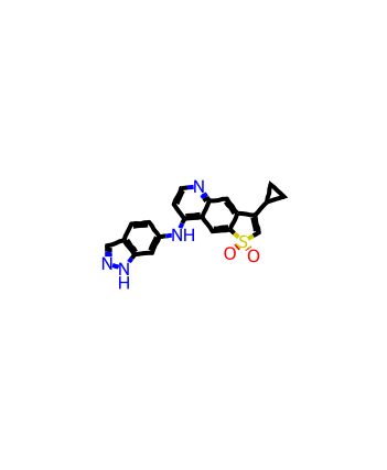 O=S1(=O)C=C(C2CC2)c2cc3nccc(Nc4ccc5cn[nH]c5c4)c3cc21